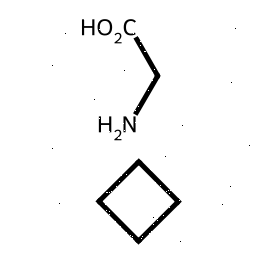 C1CCC1.NCC(=O)O